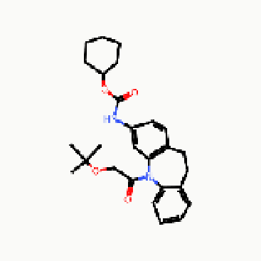 CC(C)(C)OCC(=O)N1c2ccccc2CCc2ccc(NC(=O)OC3CCCCC3)cc21